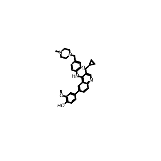 COc1cc(-c2ccc3ncc(C(=O)C4CC4)c(Nc4ccc(CN5CCN(C)CC5)cc4)c3c2)ccc1O